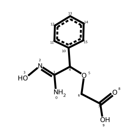 NC(=NO)C(OCC(=O)O)c1ccccc1